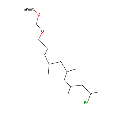 CCCCCOCOCCCC(C)CC(C)CC(C)CC(C)Br